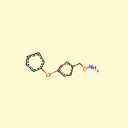 NOCc1ccc(Oc2ccccc2)cc1